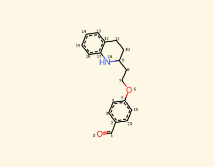 O=Cc1ccc(OCCC2CCc3ccccc3N2)cc1